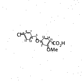 COc1cc(OCc2ccc(Cl)cc2)ccc1C(=O)O